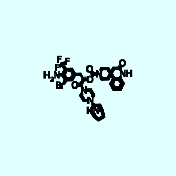 Nc1c(Br)cc(C[C@@H](OC(=O)N2CCC3(CC2)CC(=O)Nc2ccccc23)C(=O)N2CCN(C3CC4CCC(C3)N4)CC2)cc1C(F)(F)F